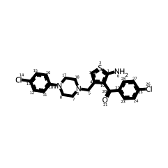 Nc1scc(CN2CCN(c3ccc(Cl)cc3)CC2)c1C(=O)c1ccc(Cl)cc1